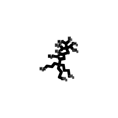 CCC[CH2][Sn]([CH2]CCC)([CH2]CCC)[c]1cc(O[Si](C(C)C)(C(C)C)C(C)C)nn1C